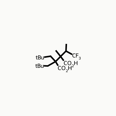 CC(C(F)(F)F)C(C)(C(=O)O)C(CC(C)(C)C)(CC(C)(C)C)C(=O)O